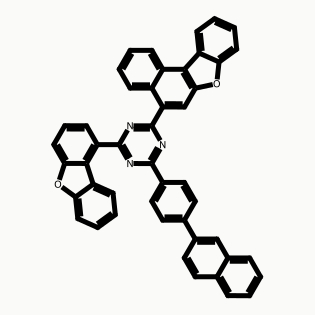 c1ccc2cc(-c3ccc(-c4nc(-c5cc6oc7ccccc7c6c6ccccc56)nc(-c5cccc6oc7ccccc7c56)n4)cc3)ccc2c1